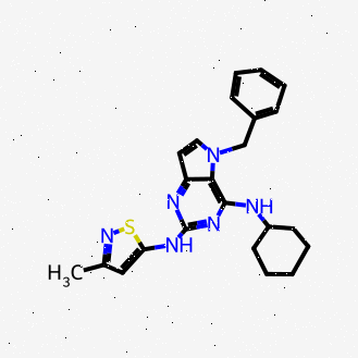 Cc1cc(Nc2nc(NC3CCCCC3)c3c(ccn3Cc3ccccc3)n2)sn1